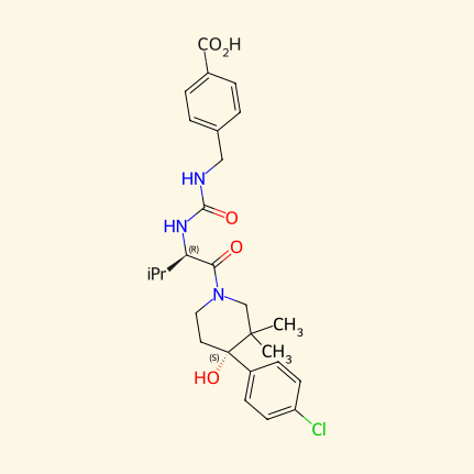 CC(C)[C@@H](NC(=O)NCc1ccc(C(=O)O)cc1)C(=O)N1CC[C@](O)(c2ccc(Cl)cc2)C(C)(C)C1